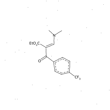 CCOC(=O)C(=CN(C)C)C(=O)c1ccc(C(F)(F)F)cc1